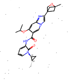 CC(C)Oc1cc2nc(C34COC(C)(C3)C4)cn2cc1C(=O)Nc1cccn([C@H]2C[C@@H]2C)c1=O